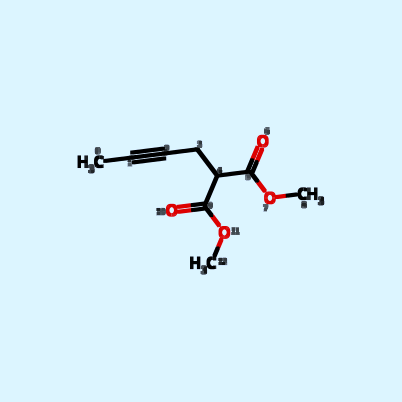 CC#CCC(C(=O)OC)C(=O)OC